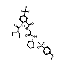 CCN(CC)C(=O)Nc1ccc(C(F)(F)F)cc1C(=O)NCC(=O)N[C@H]1CCCC[C@H]1CS(=O)(=O)c1ccc(SC)cc1